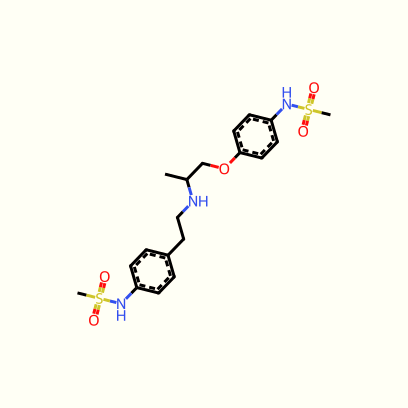 CC(COc1ccc(NS(C)(=O)=O)cc1)NCCc1ccc(NS(C)(=O)=O)cc1